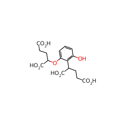 O=C(O)CCC(Oc1cccc(O)c1C(CCC(=O)O)C(=O)O)C(=O)O